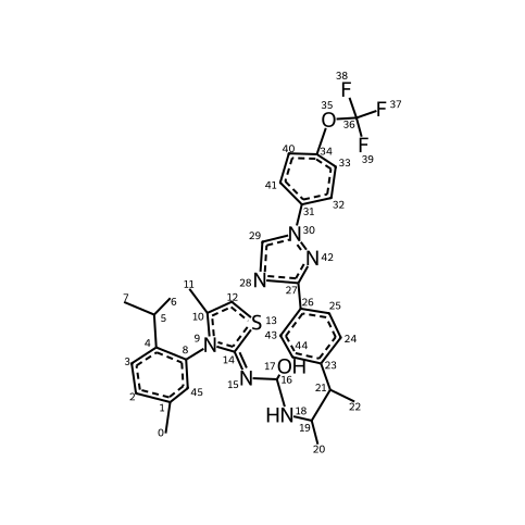 Cc1ccc(C(C)C)c(-n2c(C)cs/c2=N\C(O)NC(C)C(C)c2ccc(-c3ncn(-c4ccc(OC(F)(F)F)cc4)n3)cc2)c1